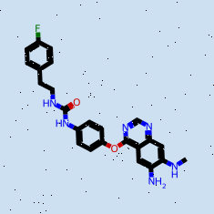 CNc1cc2ncnc(Oc3ccc(NC(=O)NCCc4ccc(F)cc4)cc3)c2cc1N